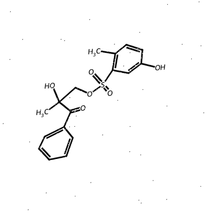 Cc1ccc(O)cc1S(=O)(=O)OCC(C)(O)C(=O)c1ccccc1